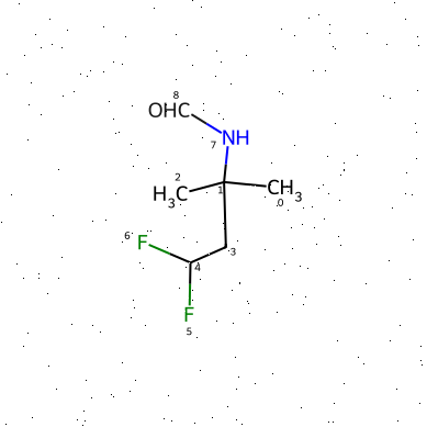 CC(C)(CC(F)F)NC=O